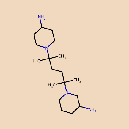 CC(C)(CCC(C)(C)N1CCCC(N)C1)N1CCC(N)CC1